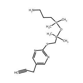 C#CCc1cnc(SC[Si](C)(C)O[Si](C)(C)CCCN)nc1